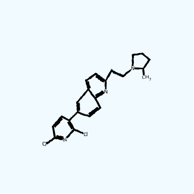 CC1CCCN1CCc1ccc2cc(-c3ccc(Cl)nc3Cl)ccc2n1